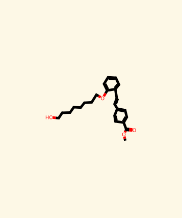 COC(=O)c1ccc(C=Cc2ccccc2OCCCCCCCCO)cc1